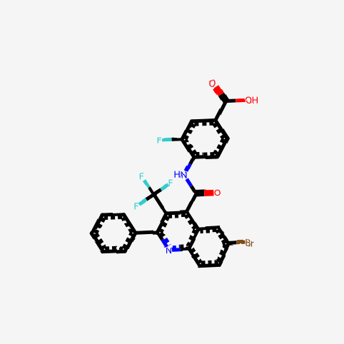 O=C(O)c1ccc(NC(=O)c2c(C(F)(F)F)c(-c3ccccc3)nc3ccc(Br)cc23)c(F)c1